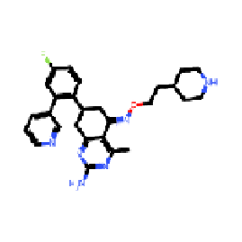 Cc1nc(N)nc2c1/C(=N/OCCC1CCNCC1)CC(c1ccc(F)cc1-c1cccnc1)C2